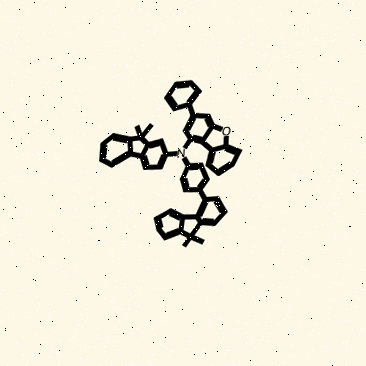 CC1(C)c2ccccc2-c2ccc(N(c3ccc(-c4cccc5c4-c4ccccc4C5(C)C)cc3)c3cc(-c4ccccc4)cc4oc5ccccc5c34)cc21